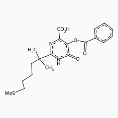 CSCCCCC(C)(C)c1nc(C(=O)O)c(OC(=O)c2ccccc2)c(=O)[nH]1